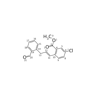 COC(=O)c1cc(Cl)ccc1C=CCc1ccccc1C=O